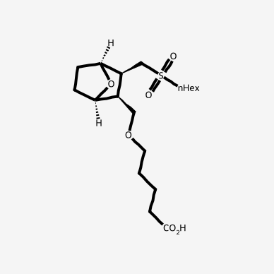 CCCCCCS(=O)(=O)C[C@H]1[C@@H](COCCCCC(=O)O)[C@H]2CC[C@@H]1O2